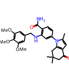 COc1cc(CNc2cc(-n3c(C)cc4c3CC(C)(C)CC4=O)ccc2C(N)=O)cc(OC)c1OC